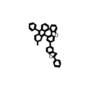 CC1C=Cc2c(c(-c3cc(-c4ccc5oc(-c6ccccc6)cc5c4)cc4oc5ccccc5c34)c3ccccc3c2-c2ccccc2)C1